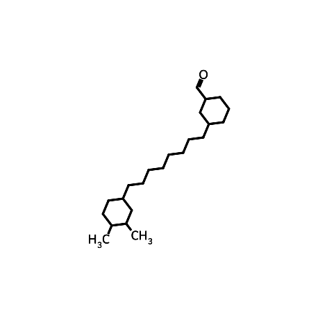 CC1CCC(CCCCCCCCC2CCCC(C=O)C2)CC1C